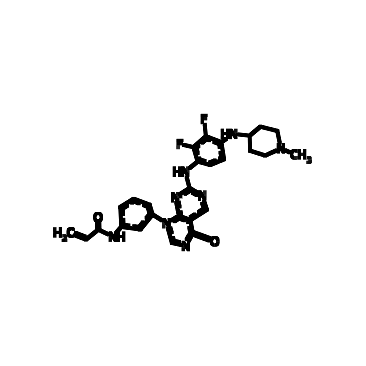 C=CC(=O)Nc1cccc(-n2cnc(=O)c3cnc(Nc4ccc(NC5CCN(C)CC5)c(F)c4F)nc32)c1